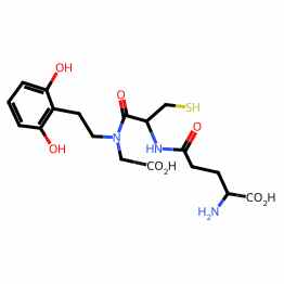 NC(CCC(=O)NC(CS)C(=O)N(CCc1c(O)cccc1O)CC(=O)O)C(=O)O